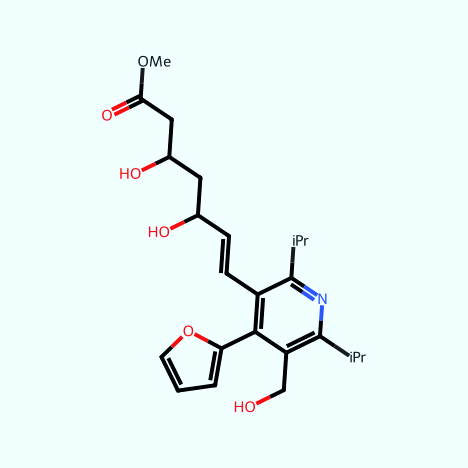 COC(=O)CC(O)CC(O)C=Cc1c(C(C)C)nc(C(C)C)c(CO)c1-c1ccco1